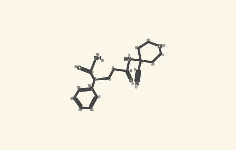 N#CC1(NC(=O)[CH]C[C@H](C(N)=O)c2ccccc2)CCOCC1